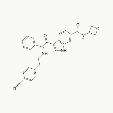 N#Cc1ccc(CCN[C@@H](C(=O)c2c[nH]c3cc(C(=O)NC4COC4)ccc23)c2ccccc2)cc1